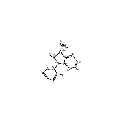 Cc1ccccc1N1c2ncccc2N(N)C1C